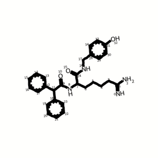 N=C(N)CCCCC(NC(=O)C(c1ccccc1)c1ccccc1)C(=O)NCc1ccc(O)cc1